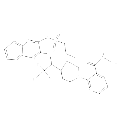 CCCS(=O)(=O)Nc1nc2ccccc2nc1OC(C1CCN(c2ncccc2C(=O)N(C)C)CC1)C(F)(F)F